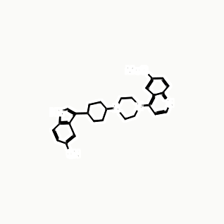 COc1ccc2nccc(N3CCN(C4CCC(c5c[nH]c6ccc(C#N)cc56)CC4)CC3)c2c1